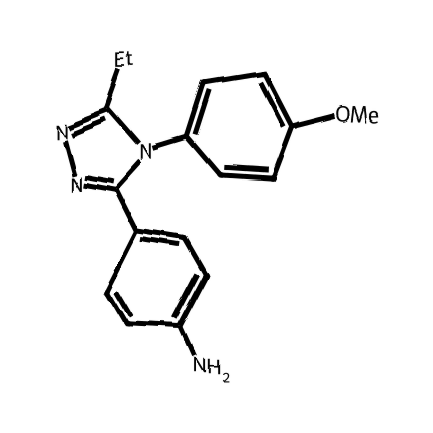 CCc1nnc(-c2ccc(N)cc2)n1-c1ccc(OC)cc1